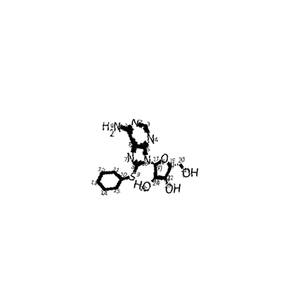 Nc1ncnc2c1nc(SC1CCCCC1)n2[C@@H]1O[C@H](CO)[C@@H](O)[C@H]1O